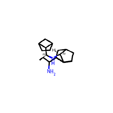 CC(N)C1CC2CCC1[C@H]2N[C@@H](C)C1C2CCC1C2